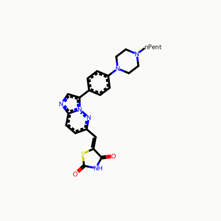 CCCCCN1CCN(c2ccc(-c3cnc4ccc(/C=C5\SC(=O)NC5=O)nn34)cc2)CC1